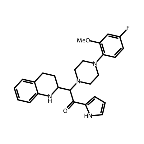 COc1cc(F)ccc1N1CCN(C(C(=O)c2ccc[nH]2)C2CCc3ccccc3N2)CC1